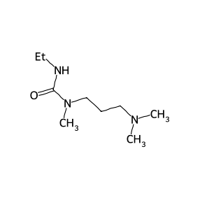 CCNC(=O)N(C)CCCN(C)C